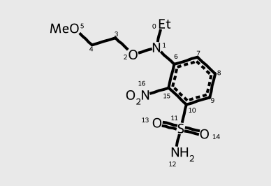 CCN(OCCOC)c1cccc(S(N)(=O)=O)c1[N+](=O)[O-]